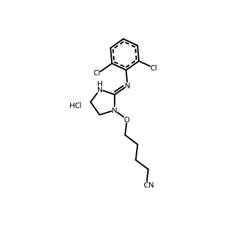 Cl.N#CCCCCON1CCN/C1=N\c1c(Cl)cccc1Cl